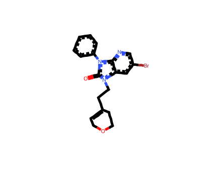 O=c1n(CCC2=CCOCC2)c2cc(Br)cnc2n1-c1ccccc1